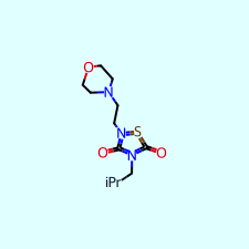 CC(C)Cn1c(=O)sn(CCN2CCOCC2)c1=O